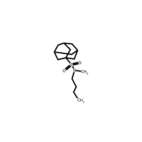 CCCCN(C)S(=O)(=O)C12CC3CC(CC(C3)C1)C2